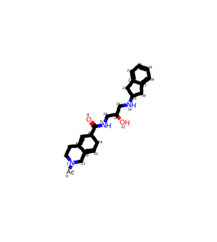 CC(=O)N1CCC2=CC(C(=O)NCC(O)CNC3Cc4ccccc4C3)CC=C2C1